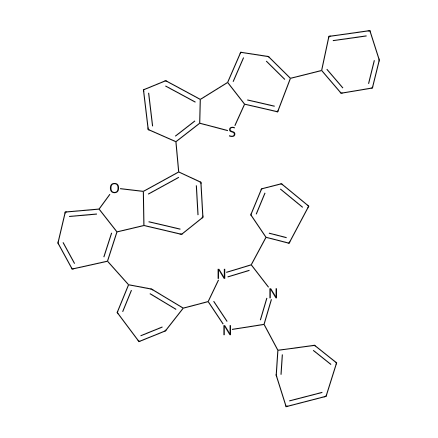 c1ccc(-c2ccc3c(c2)sc2c(-c4cccc5c4oc4cccc(-c6cccc(-c7nc(-c8ccccc8)nc(-c8ccccc8)n7)c6)c45)cccc23)cc1